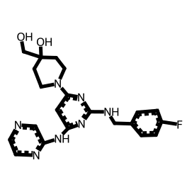 OCC1(O)CCN(c2cc(Nc3cnccn3)nc(NCc3ccc(F)cc3)n2)CC1